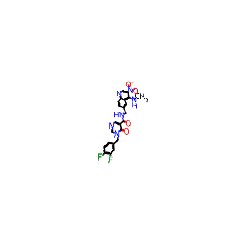 CNc1c([N+](=O)[O-])cnc2ccc(CNC(=O)c3cncn(Cc4ccc(F)c(F)c4)c3=O)cc12